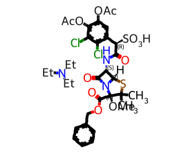 CCN(CC)CC.CO[C@@]1(C(=O)OCc2ccccc2)N2C(=O)[C@H](NC(=O)[C@@H](c3cc(OC(C)=O)c(OC(C)=O)c(Cl)c3Cl)S(=O)(=O)O)[C@H]2SC1(C)C